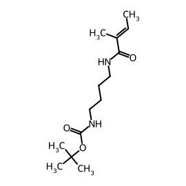 C/C=C(\C)C(=O)NCCCCNC(=O)OC(C)(C)C